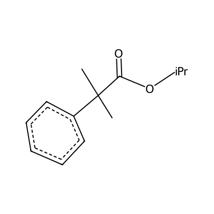 CC(C)OC(=O)C(C)(C)c1ccccc1